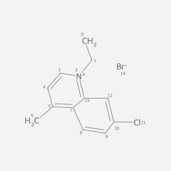 CC[n+]1ccc(C)c2ccc(Cl)cc21.[Br-]